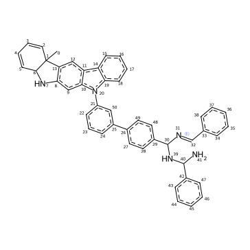 CC12C=CC=CC1Nc1cc3c(cc12)c1ccccc1n3-c1cccc(-c2ccc(C(/N=C/c3ccccc3)NC(N)c3ccccc3)cc2)c1